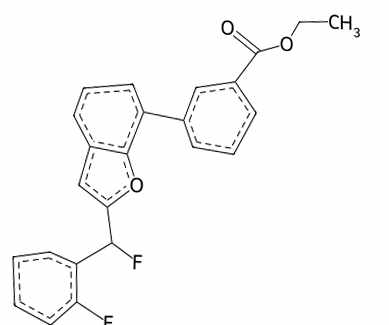 CCOC(=O)c1cccc(-c2cccc3cc(C(F)c4ccccc4F)oc23)c1